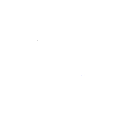 [CH2]CNCCOCc1ccccc1